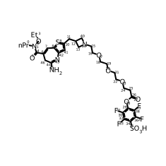 CCCN(OCC)C(=O)C1=Cc2sc(CC3CN(CCOCCOCCOCCC(=O)Oc4c(F)c(F)c(S(=O)(=O)O)c(F)c4F)C3)cc2N=C(N)C1